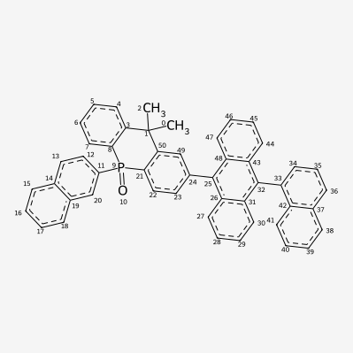 CC1(C)c2ccccc2P(=O)(c2ccc3ccccc3c2)c2ccc(-c3c4ccccc4c(-c4cccc5ccccc45)c4ccccc34)cc21